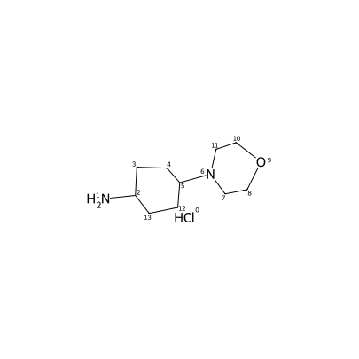 Cl.NC1CCC(N2CCOCC2)CC1